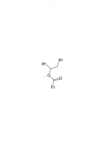 CCC(=O)OC(CC(C)C)C(C)C